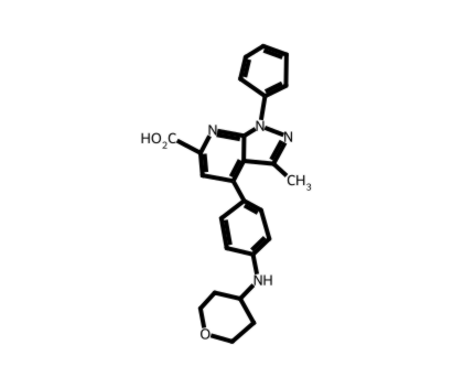 Cc1nn(-c2ccccc2)c2nc(C(=O)O)cc(-c3ccc(NC4CCOCC4)cc3)c12